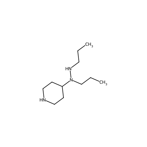 CCCNN(CCC)C1CCNCC1